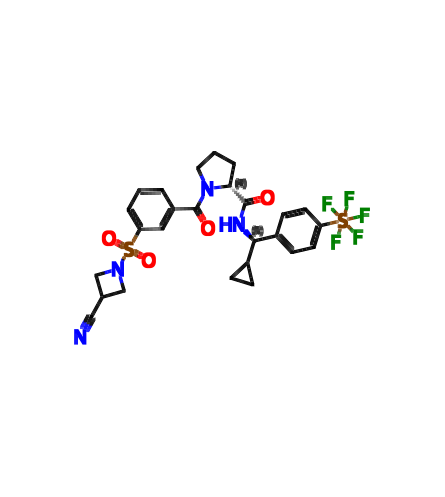 N#CC1CN(S(=O)(=O)c2cccc(C(=O)N3CCC[C@@H]3C(=O)N[C@@H](c3ccc(S(F)(F)(F)(F)F)cc3)C3CC3)c2)C1